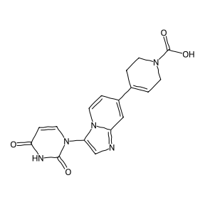 O=C(O)N1CC=C(c2ccn3c(-n4ccc(=O)[nH]c4=O)cnc3c2)CC1